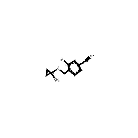 C#Cc1ccc(COC2(C)CC2)c(C(C)C)c1